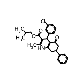 CC1=C(C(=O)OCC(C)C)C(c2cccc(Cl)c2)C2=C(CC(c3ccccc3)CC2=O)N1